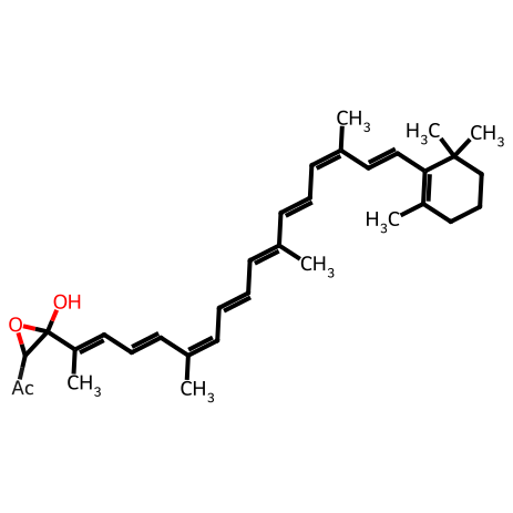 CC(=O)C1OC1(O)/C(C)=C/C=C/C(C)=C\C=C\C=C(C)\C=C\C=C(C)/C=C/C1=C(C)CCCC1(C)C